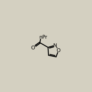 CCCC(=O)c1ccon1